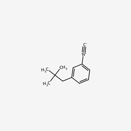 [C-]#[N+]c1cccc(CC(C)(C)C)c1